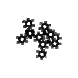 c1ccc(-c2cccc(-n3c4cccc5c4c4c(cc6c7ccccc7n(-c7cccc(-c8nc(-c9ccccc9)nc(-c9ccccc9)n8)c7)c6c43)CC5)c2)cc1